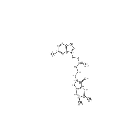 Cc1ccc2scc(CCN(C)CCCN3Cc4cc(C)c(C)cc4C3=O)c2c1